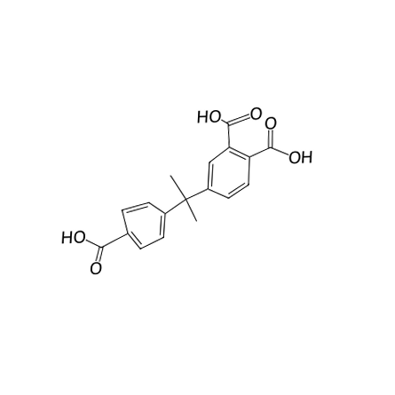 CC(C)(c1ccc(C(=O)O)cc1)c1ccc(C(=O)O)c(C(=O)O)c1